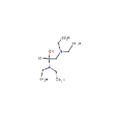 CCC(O)(CN(CC(=O)O)CC(=O)O)N(CC(=O)O)CC(=O)O